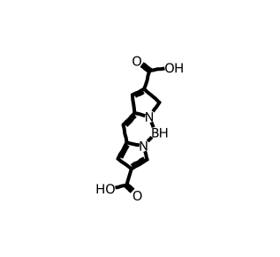 O=C(O)C1=CC2=Cc3cc(C(=O)O)cn3BN2C1